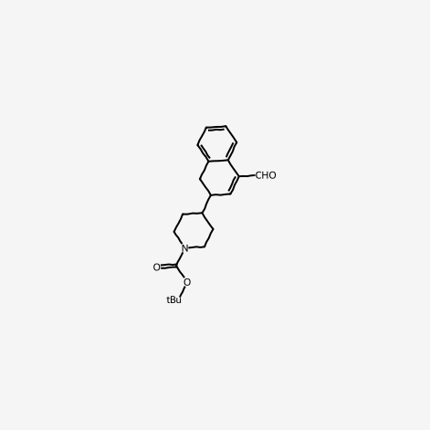 CC(C)(C)OC(=O)N1CCC(C2C=C(C=O)c3ccccc3C2)CC1